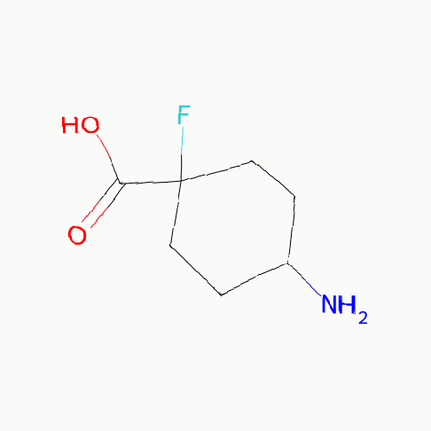 NC1CCC(F)(C(=O)O)CC1